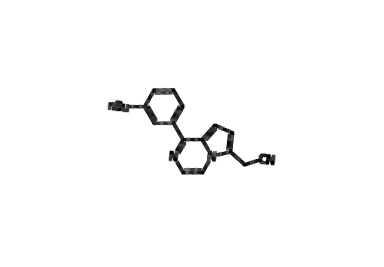 CCCCc1cccc(-c2nccn3c(CC#N)ccc23)c1